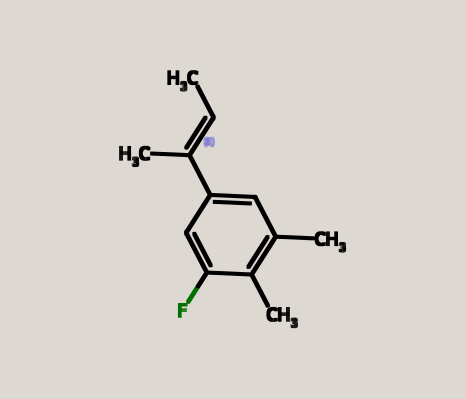 C/C=C(\C)c1cc(C)c(C)c(F)c1